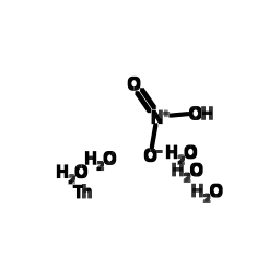 O.O.O.O.O.O=[N+]([O-])O.[Th]